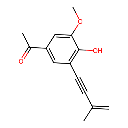 C=C(C)C#Cc1cc(C(C)=O)cc(OC)c1O